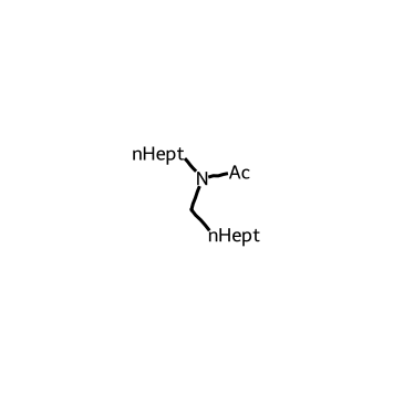 CCCCCCCCN(CCCCCCC)C(C)=O